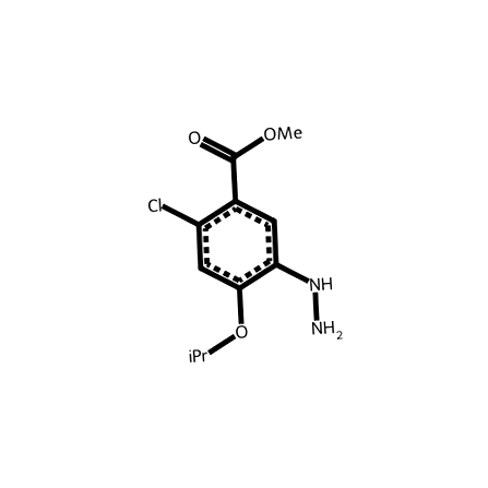 COC(=O)c1cc(NN)c(OC(C)C)cc1Cl